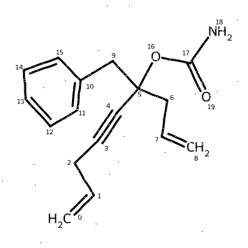 C=CCC#CC(CC=C)(Cc1ccccc1)OC(N)=O